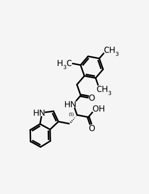 Cc1cc(C)c(CC(=O)N[C@@H](Cc2c[nH]c3ccccc23)C(=O)O)c(C)c1